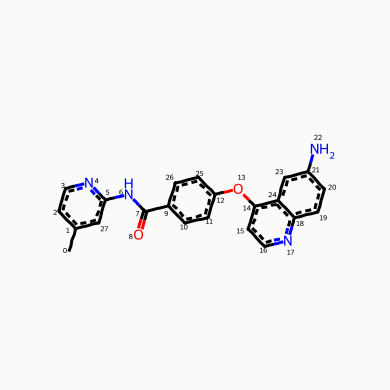 Cc1ccnc(NC(=O)c2ccc(Oc3ccnc4ccc(N)cc34)cc2)c1